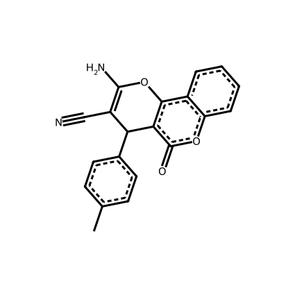 Cc1ccc(C2C(C#N)=C(N)Oc3c2c(=O)oc2ccccc32)cc1